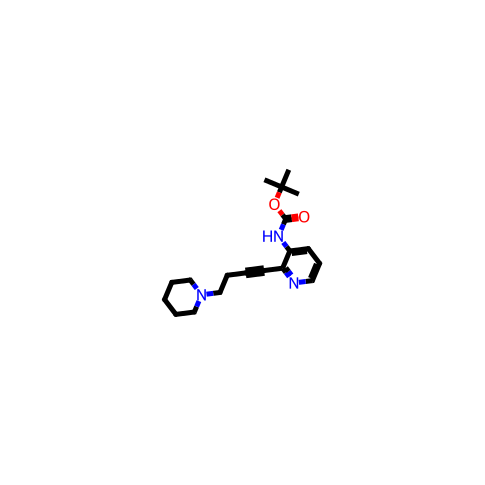 CC(C)(C)OC(=O)Nc1cccnc1C#CCCN1CCCCC1